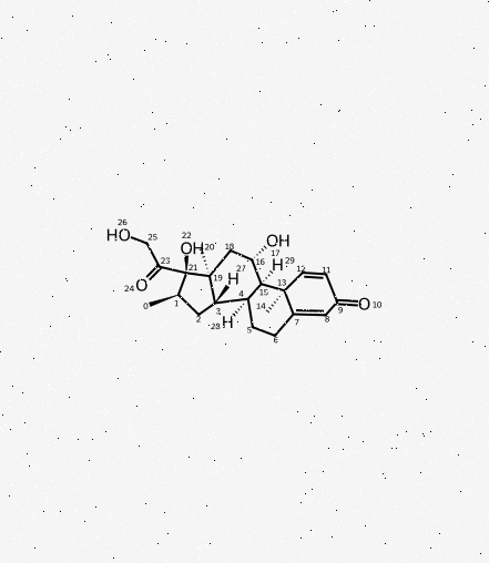 C[C@@H]1C[C@H]2[C@@H]3CCC4=CC(=O)C=C[C@]4(C)[C@@H]3[C@@H](O)C[C@]2(C)[C@@]1(O)C(=O)CO